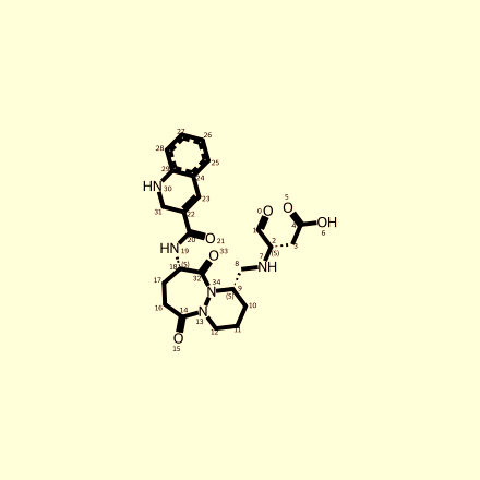 O=C[C@H](CC(=O)O)NC[C@@H]1CCCN2C(=O)CC[C@H](NC(=O)C3=Cc4ccccc4NC3)C(=O)N12